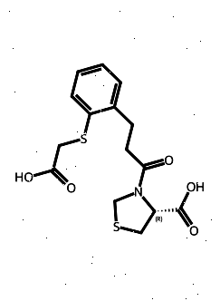 O=C(O)CSc1ccccc1CCC(=O)N1CSC[C@H]1C(=O)O